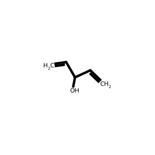 C=C[C](O)C=C